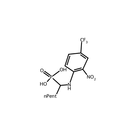 CCCCCC(Nc1ccc(C(F)(F)F)cc1[N+](=O)[O-])P(=O)(O)O